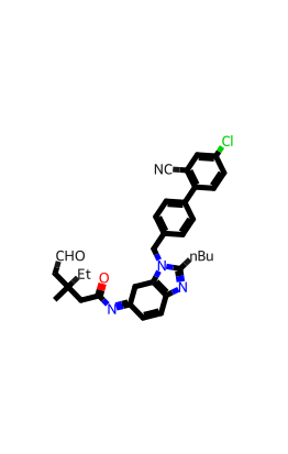 CCCCc1nc2c(n1Cc1ccc(-c3ccc(Cl)cc3C#N)cc1)CC(=NC(=O)CC(C)(CC)CC=O)C=C2